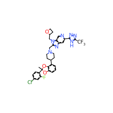 CC1(c2ccc(Cl)cc2F)Oc2cccc(C3CCN(Cc4nc5cc(-c6nnc(C(F)(F)F)[nH]6)ncc5n4CC4CCO4)CC3)c2O1